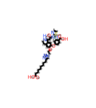 CC1(CC(=O)Nc2nccs2)NCCc2cc(OCCn3cc(CCCCCCCCC(=O)O)nn3)c(Oc3ccc(C(=O)O)c(F)c3)cc21